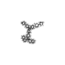 c1ccc(-c2ccc(-c3ccc(N(c4ccc(-c5ccccc5)cc4)c4ccc(-c5ccc(N(c6ccc7ccccc7c6)c6cccc7ccccc67)cc5)cc4)cc3)cc2)cc1